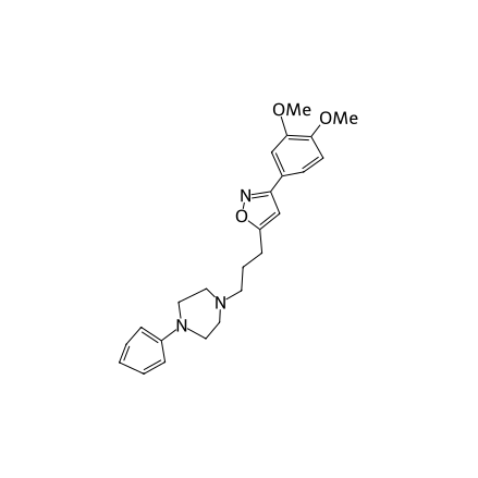 COc1ccc(-c2cc(CCCN3CCN(c4ccccc4)CC3)on2)cc1OC